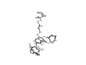 Cc1ccccc1Cc1cn(CCCCCCC(=O)NO)c2ccc(-c3c(C)noc3C)cc12